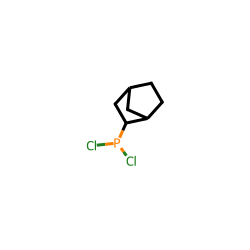 ClP(Cl)C1CC2CCC1C2